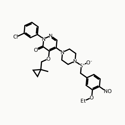 CCOc1cc(C[S+]([O-])N2CCN(c3cnn(-c4cccc(Cl)c4)c(=O)c3OCC3(C)CC3)CC2)ccc1N=O